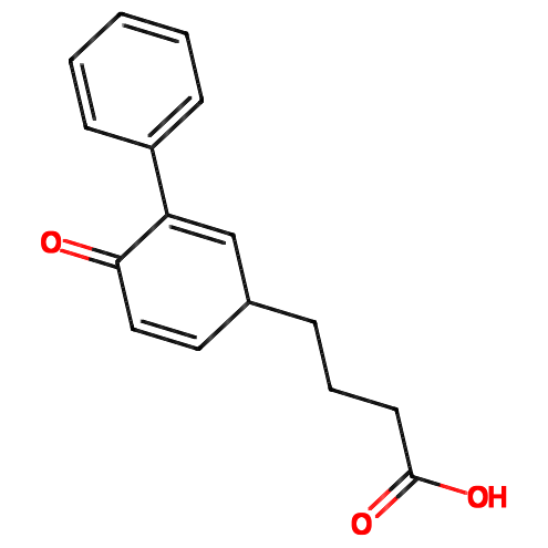 O=C(O)CCCC1C=CC(=O)C(c2ccccc2)=C1